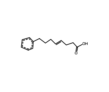 O=C(O)CCC=CCCCc1ccccc1